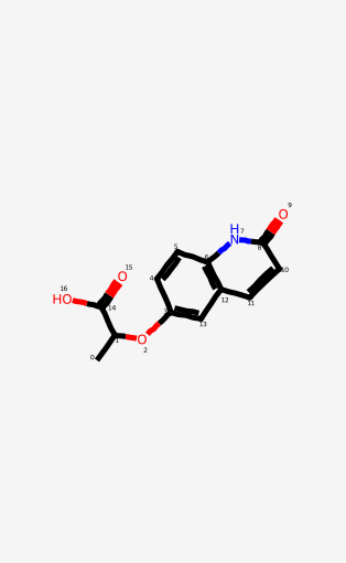 CC(Oc1ccc2[nH]c(=O)ccc2c1)C(=O)O